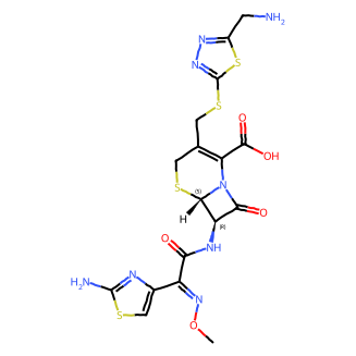 CON=C(C(=O)N[C@@H]1C(=O)N2C(C(=O)O)=C(CSc3nnc(CN)s3)CS[C@@H]12)c1csc(N)n1